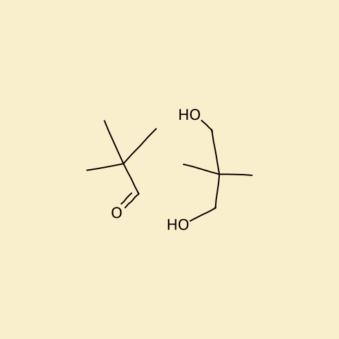 CC(C)(C)C=O.CC(C)(CO)CO